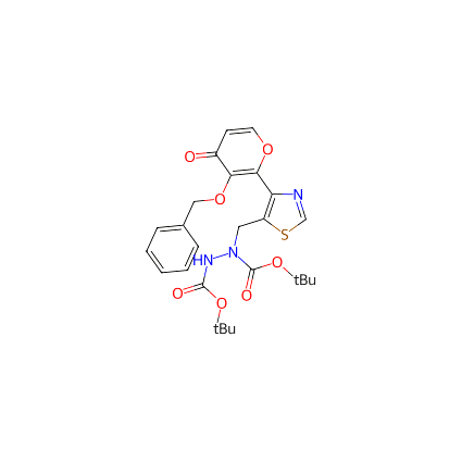 CC(C)(C)OC(=O)NN(Cc1scnc1-c1occc(=O)c1OCc1ccccc1)C(=O)OC(C)(C)C